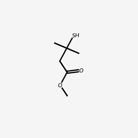 COC(=O)CC(C)(C)S